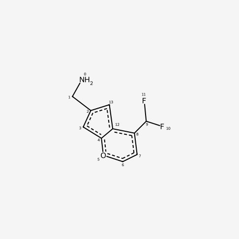 NCc1cc2occc(C(F)F)c-2c1